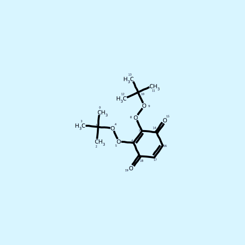 CC(C)(C)OOC1=C(OOC(C)(C)C)C(=O)C=CC1=O